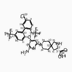 Nc1nc(O[C@H](c2ccc(Cl)cc2-c2cccc(C(F)(F)F)c2)C(F)(F)F)cc(N2CCC3(CC2)CN[C@H](C(=O)O)C3)n1